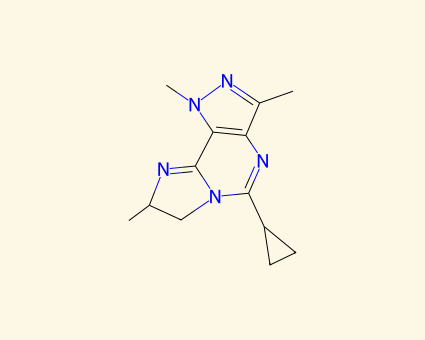 Cc1nn(C)c2c1N=C(C1CC1)N1CC(C)N=C21